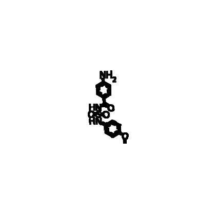 COc1ccc(NS(=O)(=O)NC(=O)c2ccc(N)cc2)cc1